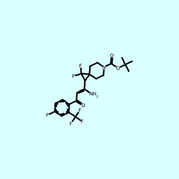 CC(C)(C)OC(=O)N1CCC2(CC1)C(C(N)=CC(=O)c1ccc(F)cc1C(F)(F)F)C2(F)F